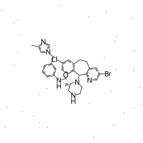 Cc1cn(Cc2cccc(NC(=O)[C@H]3CNCCN3C3c4ccc(Cl)cc4CCc4cc(Br)cnc43)c2)cn1